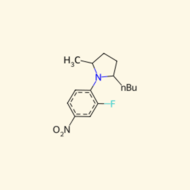 CCCCC1CCC(C)N1c1ccc([N+](=O)[O-])cc1F